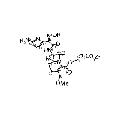 CCOC(=O)OCOC(=O)C1=C(COC)CS[C@@H]2C(NC(=O)/C(=N\O)c3csc(N)n3)C(=O)N12